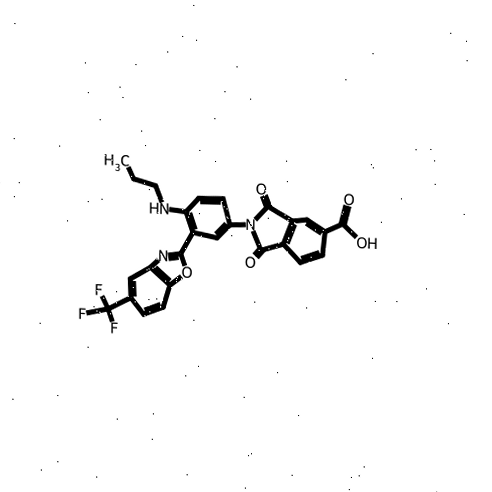 CCCNc1ccc(N2C(=O)c3ccc(C(=O)O)cc3C2=O)cc1-c1nc2cc(C(F)(F)F)ccc2o1